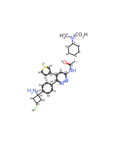 CN(C(=O)O)[C@H]1CC[C@H](CC(=O)Nc2cc(-c3ccsc3)c(-c3ccc(C4(N)CC(F)C4)cc3)nn2)CC1